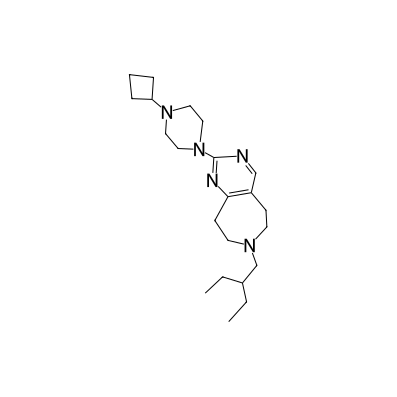 CCC(CC)CN1CCc2cnc(N3CCN(C4CCC4)CC3)nc2CC1